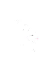 C=CCn1c(SCC)nc2c(c1=O)C(C)(C)Cc1cc(OC)ccc1-2